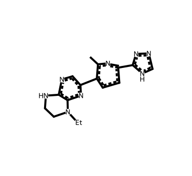 CCN1CCNc2ncc(-c3ccc(-c4nnc[nH]4)nc3C)nc21